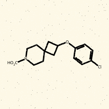 O=C(O)N1CCC2(CC1)CC(Oc1ccc(Cl)cc1)C2